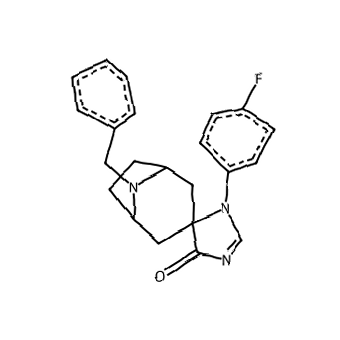 O=C1N=CN(c2ccc(F)cc2)C12CC1CCC(C2)N1Cc1ccccc1